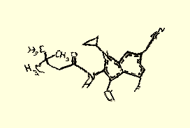 CC(C)(C)CC(=O)Nc1c(Cl)c2c(F)cc(C#N)cc2n1C1CC1